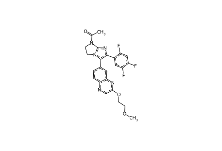 COCCOc1cnc2ccc(-c3c(-c4cc(F)c(F)cc4F)nc4n3CCN4C(C)=O)cc2n1